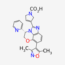 Cc1noc(C)c1-c1ccc2nc(C3=CCN(C(=O)O)C3)n3c2c1OC[C@@H]3c1ccccn1